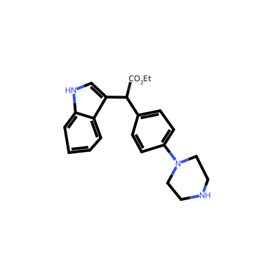 CCOC(=O)C(c1ccc(N2CCNCC2)cc1)c1c[nH]c2ccccc12